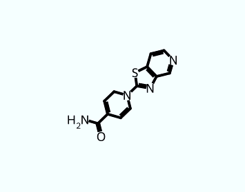 NC(=O)C1=CCN(c2nc3cnccc3s2)C=C1